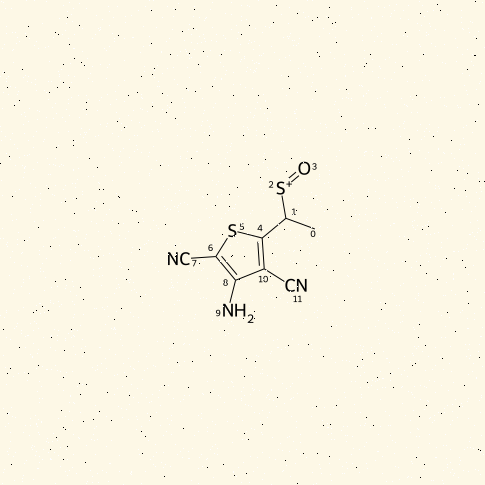 CC([S+]=O)c1sc(C#N)c(N)c1C#N